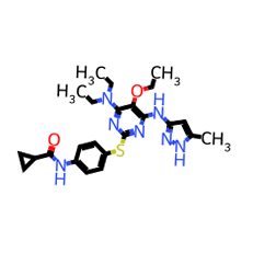 CCOc1c(Nc2cc(C)[nH]n2)nc(Sc2ccc(NC(=O)C3CC3)cc2)nc1N(CC)CC